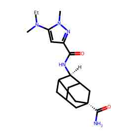 CCN(C)c1cc(C(=O)N[C@H]2C3CC4CC2C[C@](C(N)=O)(C4)C3)nn1C